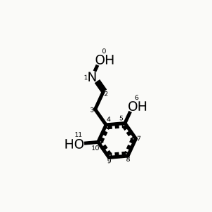 ON=CCc1c(O)cccc1O